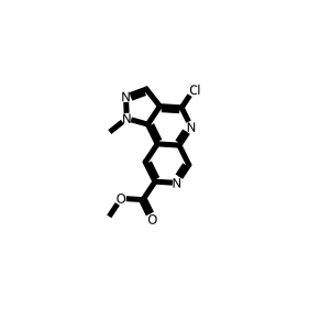 COC(=O)c1cc2c(cn1)nc(Cl)c1cnn(C)c12